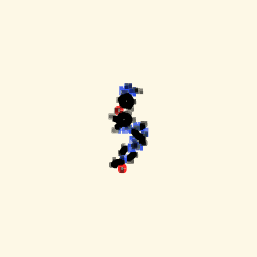 C=CC(=O)N1CCN(c2ncc3ncnc(Nc4ccc(Oc5ccc6c(c5)nnn6C)c(C)c4C)c3n2)CC1